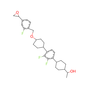 CC(O)C1CCC(c2ccc(C3CCC(OCc4ccc(C5CO5)cc4F)CC3)c(F)c2F)CC1